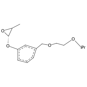 CC(C)OCCOCc1cccc(O[C@@H]2OC2C)c1